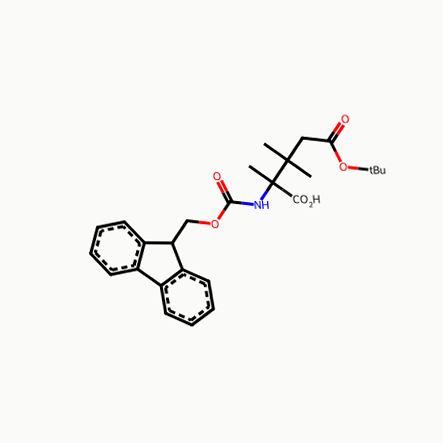 CC(C)(C)OC(=O)CC(C)(C)C(C)(NC(=O)OCC1c2ccccc2-c2ccccc21)C(=O)O